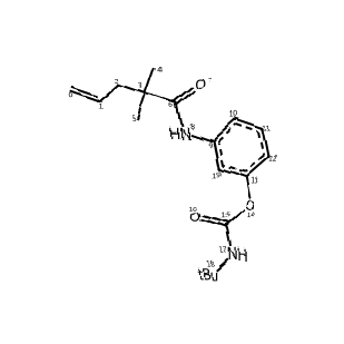 C=CCC(C)(C)C(=O)Nc1cccc(OC(=O)NC(C)(C)C)c1